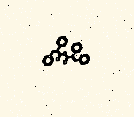 O=C(OC(=O)C(=Cc1ccccc1)c1ccccc1)C(=Cc1ccccc1)c1ccccc1